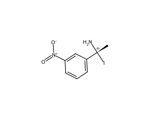 C[C@@](N)(I)c1cccc([N+](=O)[O-])c1